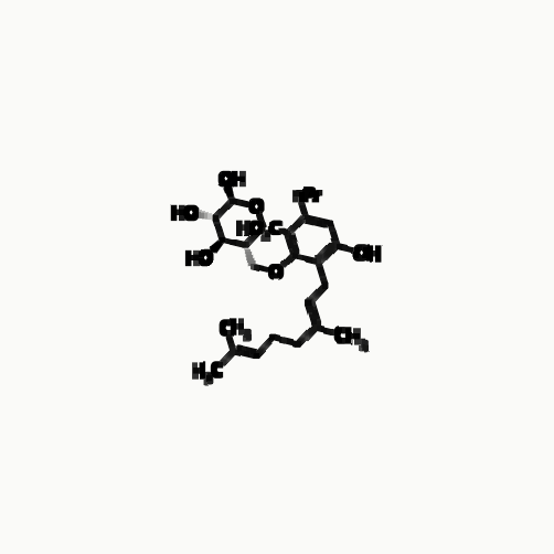 CCCc1cc(O)c(C/C=C(\C)CCC=C(C)C)c(OC[C@H]2CO[C@H](O)[C@@H](O)[C@@H]2O)c1C(=O)O